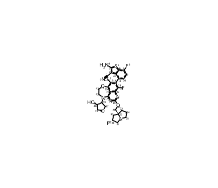 N#Cc1c(N)sc2c(F)ccc(-c3c(Cl)c4c5c(nc(OC[C@@]67CCCN6C[C@H](F)C7)nc5c3F)N(C3COCC3O)CCO4)c12